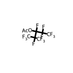 CC(=O)OC(F)(C(F)(F)C(F)(F)F)C(F)(C(F)(F)F)C(F)(F)F